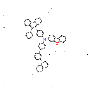 c1ccc(-c2c(-c3ccc(N(c4ccc(-c5cccc(-c6cccc7ccccc67)c5)cc4)c4ccc5c(c4)oc4ccccc45)cc3)c3ccccc3c3ccccc23)cc1